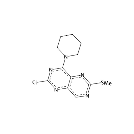 CSc1ncc2nc(Cl)nc(N3CCCCC3)c2n1